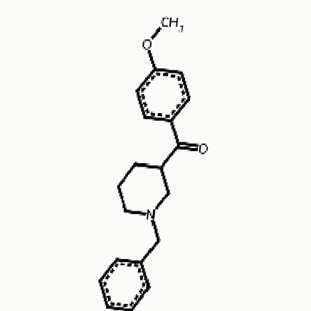 COc1ccc(C(=O)C2CCCN(Cc3ccccc3)C2)cc1